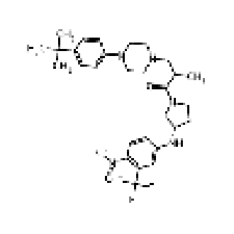 CC(CN1CCN(c2ccc(C(C)(C)C)cc2)CC1)C(=O)N1CC[C@H](Nc2ccc([N+](=O)[O-])c(C(F)(F)F)c2)C1